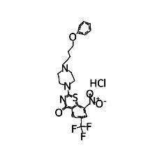 Cl.O=c1nc(N2CCN(CCCCOc3ccccc3)CC2)sc2c([N+](=O)[O-])cc(C(F)(F)F)cc12